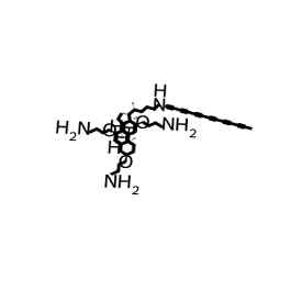 CC#CC#CC#CC#CC#CC#CNCCC[C@@H](C)[C@H]1CC[C@H]2[C@@H]3[C@H](OCCCN)C[C@@H]4C[C@H](OCCCN)CC[C@]4(C)[C@H]3C[C@H](OCCCN)[C@]12C